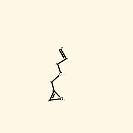 C=CCOCC1=CO1